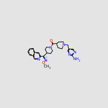 CO/N=C(\c1cc2ccccc2cn1)C1CCN(C(=O)C2CCN(Cc3cnc(N)nc3)CC2)CC1